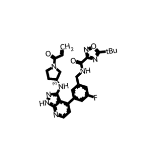 C=CC(=O)N1CC[C@@H](Nc2n[nH]c3nccc(-c4cc(F)cc(CNC(=O)c5noc(C(C)(C)C)n5)c4)c23)C1